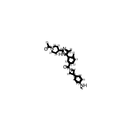 CNc1ccc(C2CN(C(=O)c3ccc(C)c(-c4[nH]c(C5CCN(C(C)=O)CC5)nc4C)c3)C2)cc1